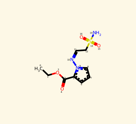 CCOC(=O)c1cccn1/N=C\CS(N)(=O)=O